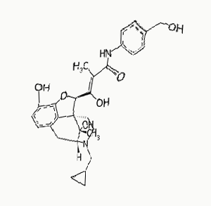 C/C(C(=O)Nc1ccc(CO)cc1)=C(/O)[C@@H]1Oc2c(O)ccc3c2[C@@]12CCN(CC1CC1)[C@H](C3)[C@@]2(C)O